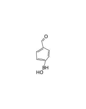 O=Cc1ccc(BO)cc1